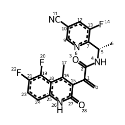 C=C(C(=O)N[C@@H](C)c1ncc(C#N)cc1F)c1c(C)c2c(F)c(F)ccc2[nH]c1=O